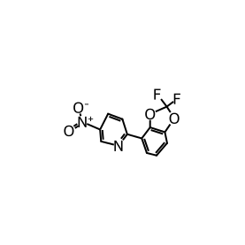 O=[N+]([O-])c1ccc(-c2cccc3c2OC(F)(F)O3)nc1